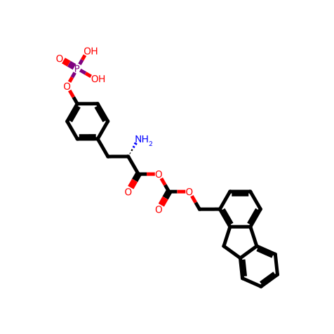 N[C@@H](Cc1ccc(OP(=O)(O)O)cc1)C(=O)OC(=O)OCc1cccc2c1Cc1ccccc1-2